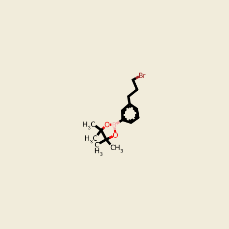 CC1(C)OB(c2cccc(CCCBr)c2)OC1(C)C